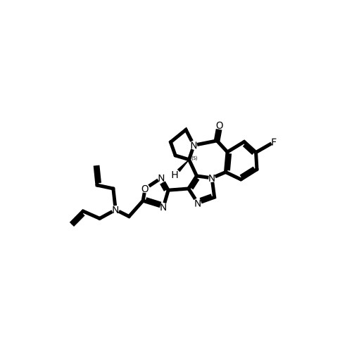 C=CCN(CC=C)Cc1nc(-c2ncn3c2[C@@H]2CCCN2C(=O)c2cc(F)ccc2-3)no1